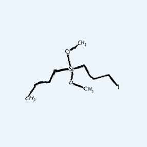 CCCC[Si](CCCI)(OC)OC